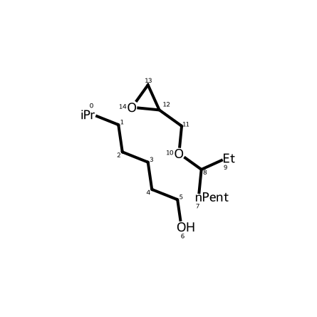 CC(C)CCCCCO.CCCCCC(CC)OCC1CO1